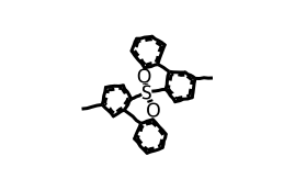 Cc1ccc(S(=O)(=O)c2ccc(C)cc2-c2ccccc2)c(-c2ccccc2)c1